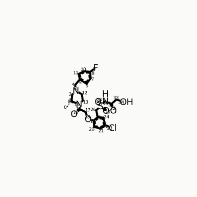 C[C@@H]1CN(Cc2ccc(F)cc2)CCN1C(=O)COc1ccc(Cl)cc1CS(=O)(=O)NC(=O)CO